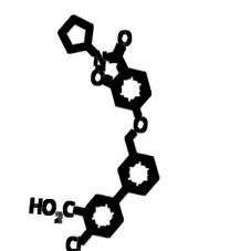 O=C(O)c1cc(-c2cccc(COc3ccc4c(=O)n(C5CCCC5)oc4c3)c2)ccc1Cl